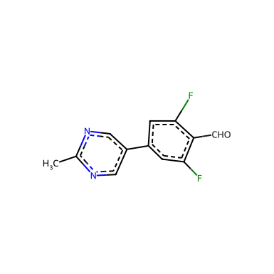 Cc1ncc(-c2cc(F)c(C=O)c(F)c2)cn1